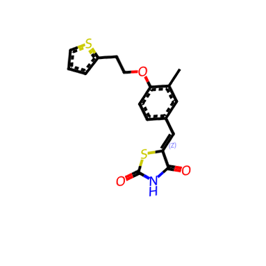 Cc1cc(/C=C2\SC(=O)NC2=O)ccc1OCCc1cccs1